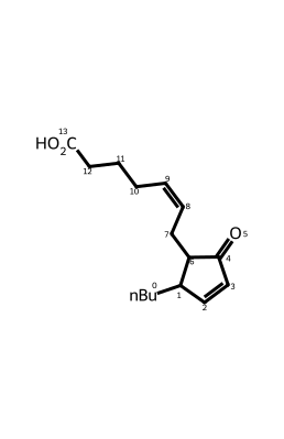 CCCCC1C=CC(=O)C1C/C=C\CCCC(=O)O